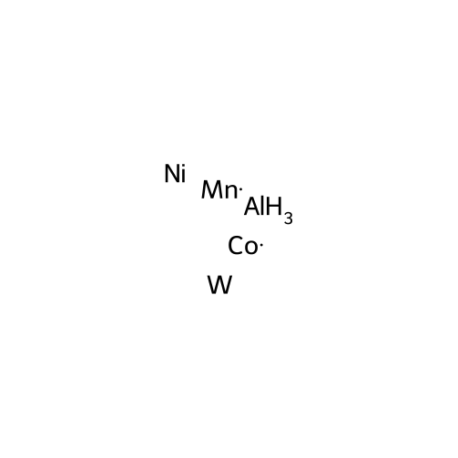 [AlH3].[Co].[Mn].[Ni].[W]